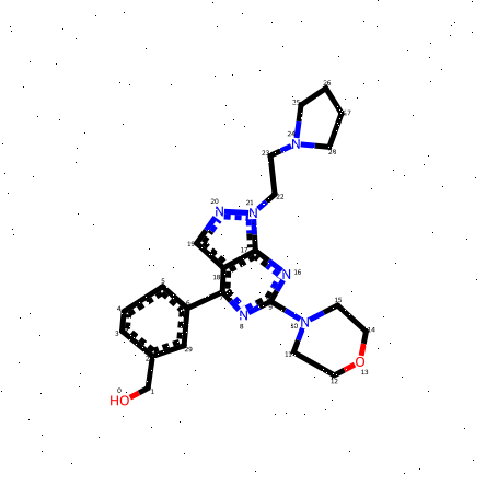 OCc1cccc(-c2nc(N3CCOCC3)nc3c2cnn3CCN2CCCC2)c1